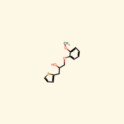 COc1ccccc1OCC(O)Cc1cccs1